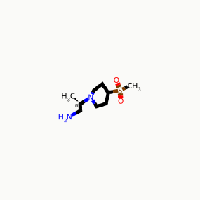 C[C@@H](CN)N1CCC(S(C)(=O)=O)CC1